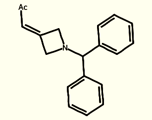 CC(=O)C=C1CN(C(c2ccccc2)c2ccccc2)C1